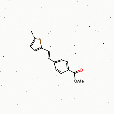 COC(=O)c1ccc(/C=C/c2ccc(C)s2)cc1